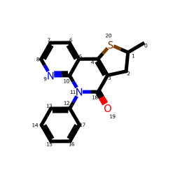 CC1Cc2c(c3cccnc3n(-c3ccccc3)c2=O)S1